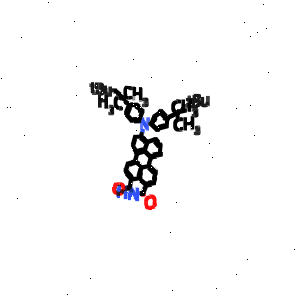 CC(C)(C)CC(C)(C)c1ccc(N(c2ccc(C(C)(C)CC(C)(C)C)cc2)c2ccc3c4ccc5c6c(ccc(c7cccc2c73)c64)C(=O)NC5=O)cc1